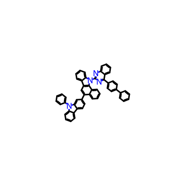 c1ccc(-c2ccc(-c3nc(-n4c5ccccc5c5cc(-c6ccc7c8ccccc8n(-c8ccccc8)c7c6)c6ccccc6c54)nc4ccccc34)cc2)cc1